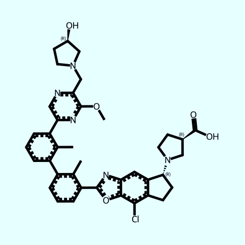 COc1nc(-c2cccc(-c3cccc(-c4nc5cc6c(c(Cl)c5o4)CC[C@H]6N4CC[C@@H](C(=O)O)C4)c3C)c2C)cnc1CN1CC[C@@H](O)C1